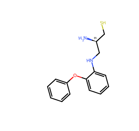 N[C@@H](CS)CNc1ccccc1Oc1ccccc1